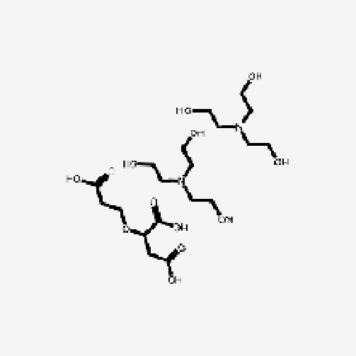 O=C(O)CCOC(CC(=O)O)C(=O)O.OCCN(CCO)CCO.OCCN(CCO)CCO